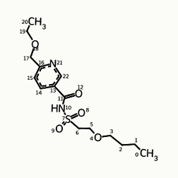 CCCCOCCS(=O)(=O)NC(=O)c1ccc(COCC)nc1